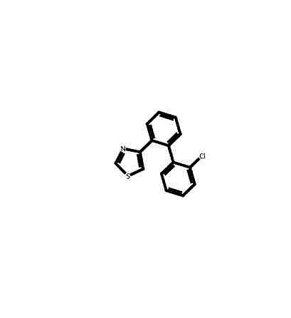 Clc1ccccc1-c1ccccc1-c1cscn1